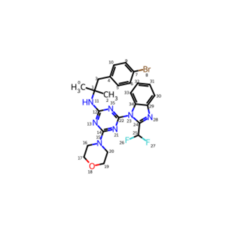 CC(C)(Cc1ccc(Br)cc1)Nc1nc(N2CCOCC2)nc(-n2c(C(F)F)nc3ccccc32)n1